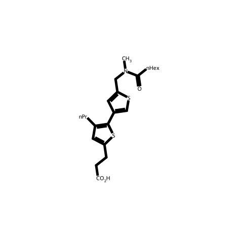 CCCCCCC(=O)N(C)Cc1cc(-c2sc(CCC(=O)O)cc2CCC)cs1